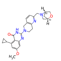 COc1cc(C2CC2)c2c(=O)[nH]c(N3CCc4nc(CN5C[C@@H]6C[C@H]5CO6)ccc4C3)nc2c1